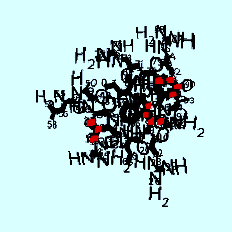 CC[C@H](C)[C@H](NC(=O)[C@H](Cc1ccccc1)NC(=O)[C@H](CCCNC(=N)N)NC(=O)[C@@H](NC(=O)[C@@H](NC(=O)[C@H](CCCNC(=N)N)NC(=O)[C@H](C)NC(=O)[C@@H](N)CC(C)C)C(C)C)[C@@H](C)CC)C(=O)N[C@@H](CCCNC(=N)N)C(=O)N[C@@H](CCCNC(=N)N)C(=O)N[C@@H](C)C(=O)N[C@@H](Cc1c[nH]c2ccccc12)C(N)=O